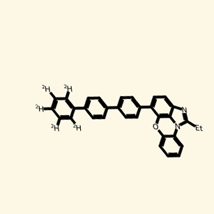 [2H]c1c([2H])c([2H])c(-c2ccc(-c3ccc(-c4ccc5nc(CC)n6c5c4Oc4ccccc4-6)cc3)cc2)c([2H])c1[2H]